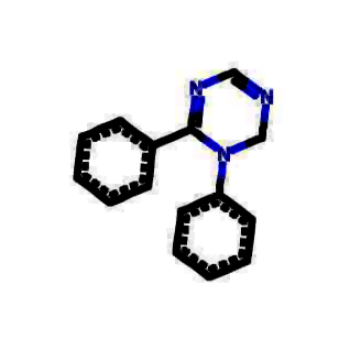 C1=NCN(c2ccccc2)C(c2ccccc2)=N1